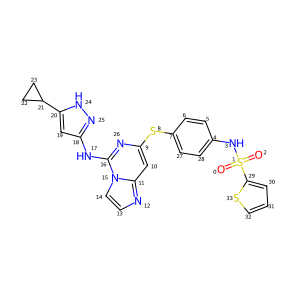 O=S(=O)(Nc1ccc(Sc2cc3nccn3c(Nc3cc(C4CC4)[nH]n3)n2)cc1)c1cccs1